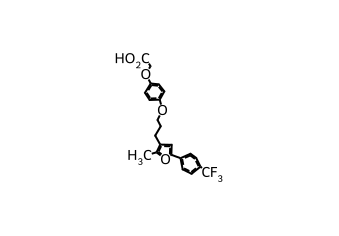 Cc1oc(-c2ccc(C(F)(F)F)cc2)cc1CCCOc1ccc(OCC(=O)O)cc1